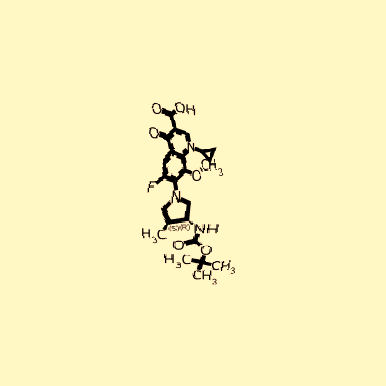 COc1c(N2C[C@H](NC(=O)OC(C)(C)C)[C@@H](C)C2)c(F)cc2c(=O)c(C(=O)O)cn(C3CC3)c12